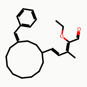 CCOC(C=O)=C(C)C=CC1CCCCCCCCC(=Cc2ccccc2)CC1